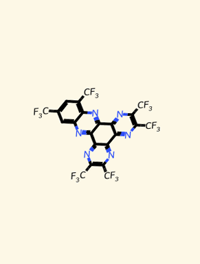 FC(F)(F)c1cc(C(F)(F)F)c2nc3c4nc(C(F)(F)F)c(C(F)(F)F)nc4c4nc(C(F)(F)F)c(C(F)(F)F)nc4c3nc2c1